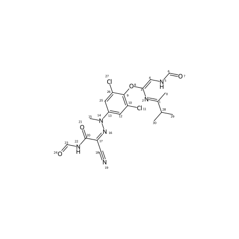 C/C(=N\C(=C/NC=O)Oc1c(Cl)cc(N(C)/N=C(/C#N)C(=O)NC=O)cc1Cl)C(C)C